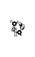 Cc1cc(Nc2ncn(-c3cc(F)cc(F)c3)n2)cc(N2CCOC3(COC3)C2)c1